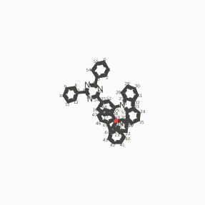 c1ccc(-c2nc(-c3ccccc3)nc(-c3ccc(-c4ccccc4)c(-n4c5ccccc5c5cccc(-n6c7ccccc7c7ccccc76)c54)c3)n2)cc1